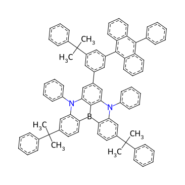 CC(C)(c1ccccc1)c1cc(-c2cc3c4c(c2)N(c2ccccc2)c2cc(C(C)(C)c5ccccc5)ccc2B4c2ccc(C(C)(C)c4ccccc4)cc2N3c2ccccc2)cc(-c2c3ccccc3c(-c3ccccc3)c3ccccc23)c1